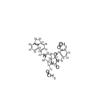 COCCN1C(=O)N(Cc2cccc(OC)c2)C(=O)C12CCN(Cc1ccc3c4c(cccc14)CC3)CC2